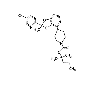 CCCC(C)(C)OC(=O)N1CCC(c2cccc3c2OC(C)(c2ccc(Cl)cn2)O3)CC1